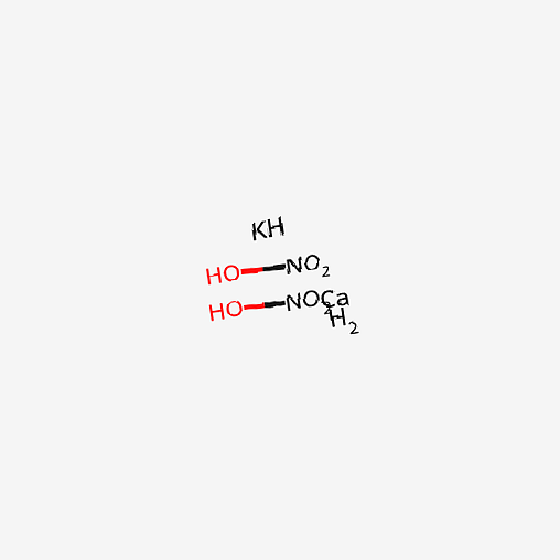 O=[N+]([O-])O.O=[N+]([O-])O.[CaH2].[KH]